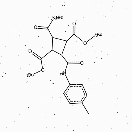 CNC(=O)C1C(C(=O)OC(C)(C)C)C(C(=O)Nc2ccc(C)cc2)C1C(=O)OC(C)(C)C